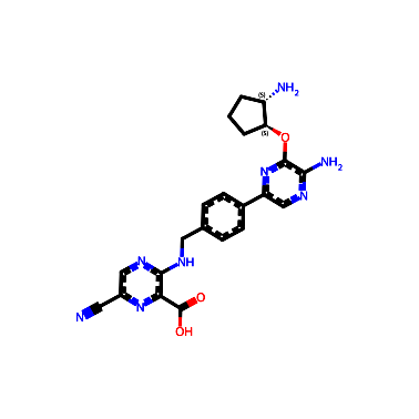 N#Cc1cnc(NCc2ccc(-c3cnc(N)c(O[C@H]4CCC[C@@H]4N)n3)cc2)c(C(=O)O)n1